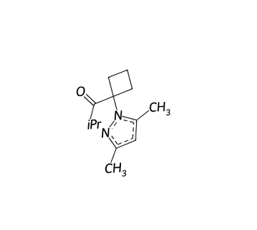 Cc1cc(C)n(C2(C(=O)C(C)C)CCC2)n1